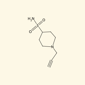 C#CCN1CCC(S(N)(=O)=O)CC1